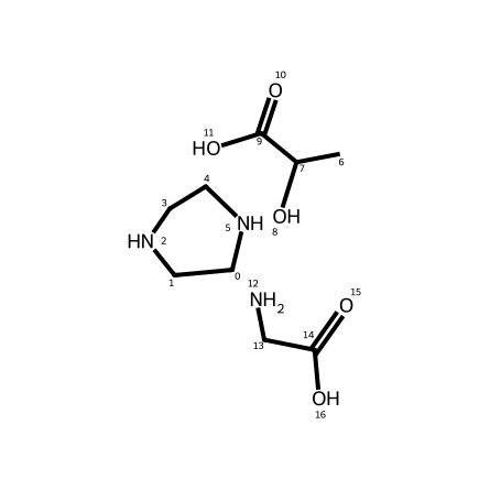 C1CNCCN1.CC(O)C(=O)O.NCC(=O)O